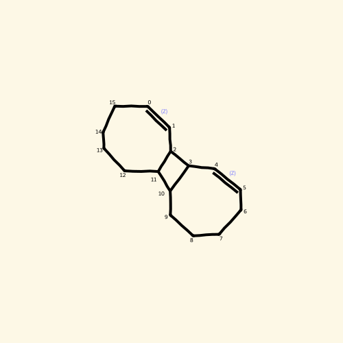 C1=C\C2C3/C=C\CCCCC3C2CCCC/1